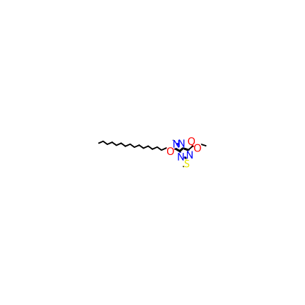 CCCCCCCCCCCCCCCCOc1c2nc(SC)nc(C(=O)OCC)c2nn1C